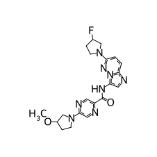 COC1CCN(c2cnc(C(=O)Nc3cnc4ccc(N5CCC(F)C5)nn34)cn2)C1